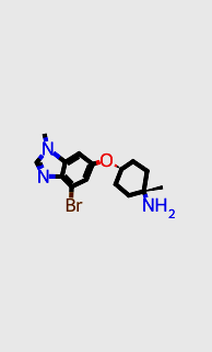 Cn1cnc2c(Br)cc(O[C@H]3CC[C@@](C)(N)CC3)cc21